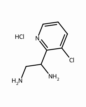 Cl.NCC(N)c1ncccc1Cl